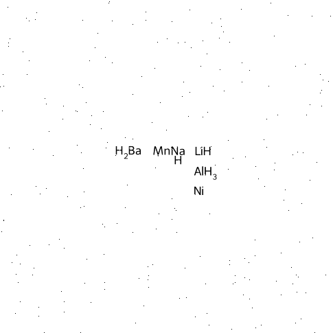 [AlH3].[BaH2].[LiH].[Mn].[NaH].[Ni]